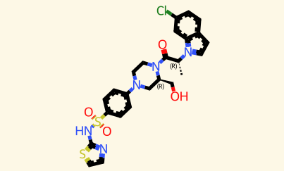 C[C@H](C(=O)N1CCN(c2ccc(S(=O)(=O)Nc3nccs3)cc2)C[C@@H]1CO)n1ccc2ccc(Cl)cc21